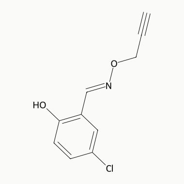 C#CCON=Cc1cc(Cl)ccc1O